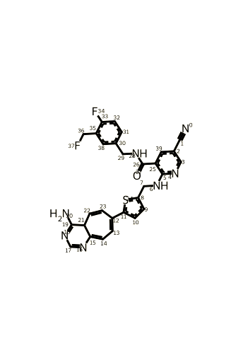 N#Cc1cnc(NCc2ccc(C3=CC=C4N=CN=C(N)C4C=C3)s2)c(C(=O)NCc2ccc(F)c(CF)c2)c1